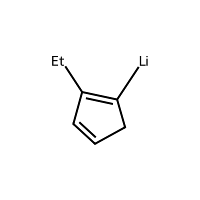 [Li][C]1=C(CC)C=CC1